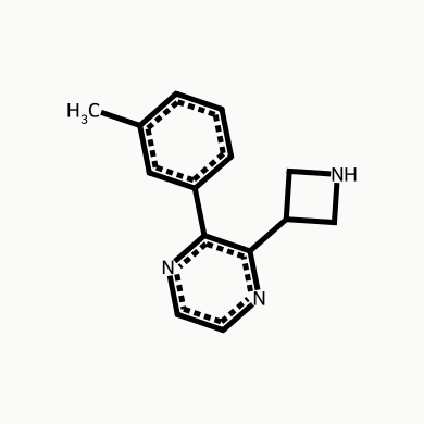 Cc1cccc(-c2nccnc2C2CNC2)c1